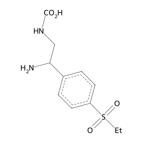 CCS(=O)(=O)c1ccc(C(N)CNC(=O)O)cc1